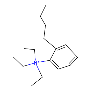 CCCCc1ccccc1[N+](CC)(CC)CC